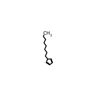 CCCCCCCCC1[C]=CC=C1